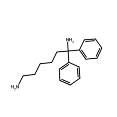 NCCCCCC(N)(c1ccccc1)c1ccccc1